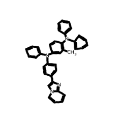 Cc1cc(N(c2ccccc2)c2ccc(-c3cn4ccccc4n3)cc2)ccc1N(c1ccccc1)c1ccccc1